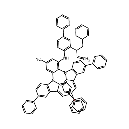 C=CC(CC1C=CC=CC1)c1cc(-c2ccccc2)ccc1Nc1cc(C#N)cc(-n2c3ccc(-c4ccccc4)cc3c3cc(-c4ccccc4)ccc32)c1-n1c2ccc(-c3ccccc3)cc2c2cc(-c3ccccc3)ccc21